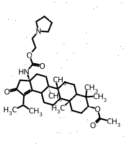 CC(=O)O[C@H]1CC[C@@]2(C)C(CCC3(C)C2CCC2C4=C(C(C)C)C(=O)C[C@]4(NC(=O)OCCN4CCCC4)CC[C@]23C)C1(C)C